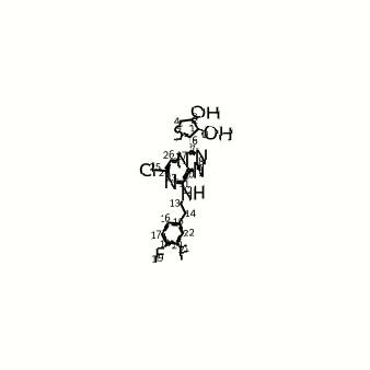 O[C@@H]1[C@H](O)CS[C@H]1c1nnc2c(NCCc3ccc(F)c(F)c3)nc(Cl)cn12